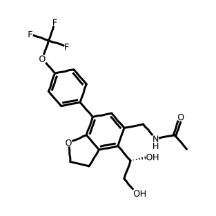 CC(=O)NCc1cc(-c2ccc(OC(F)(F)F)cc2)c2c(c1[C@H](O)CO)CCO2